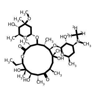 [2H]C([2H])([2H])N(C)[C@H]1C[C@@H](C)O[C@@H](O[C@@H]2[C@@H](C)C(O[C@H]3C[C@@](C)(OC)[C@@H](O)[C@H](C)O3)[C@@H](C)C(=O)O[C@H](CC)[C@@](C)(O)[C@H](O)[C@@H](C)C(=O)[C@H](C)C[C@@]2(C)O)[C@@H]1O